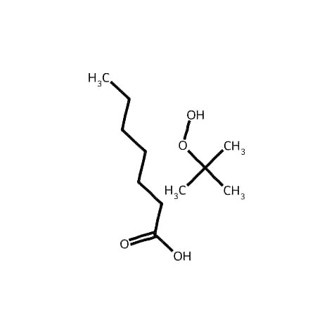 CC(C)(C)OO.CCCCCCC(=O)O